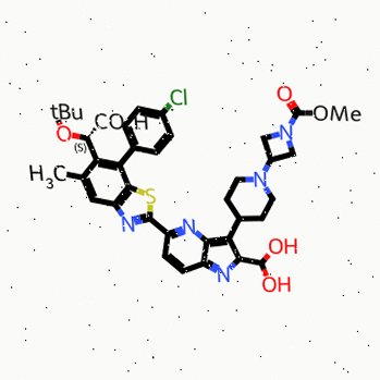 COC(=O)N1CC(N2CCC(C3=c4nc(-c5nc6cc(C)c([C@H](OC(C)(C)C)C(=O)O)c(-c7ccc(Cl)cc7)c6s5)ccc4=NC3C(O)O)CC2)C1